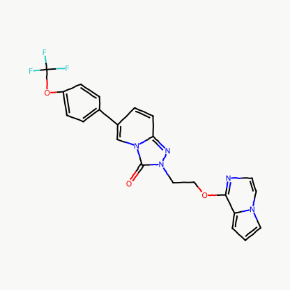 O=c1n(CCOc2nccn3cccc23)nc2ccc(-c3ccc(OC(F)(F)F)cc3)cn12